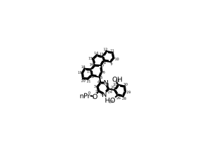 CCCOc1cc(-c2cc3c4ccccc4ccc3c3ccccc23)nc(-c2c(O)cccc2O)n1